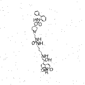 O=C(NCCCCCNCC(O)c1ccc(O)c2[nH]c(=O)ccc12)NCCCN1CCC(OC(=O)Nc2ccccc2-c2ccccc2)CC1